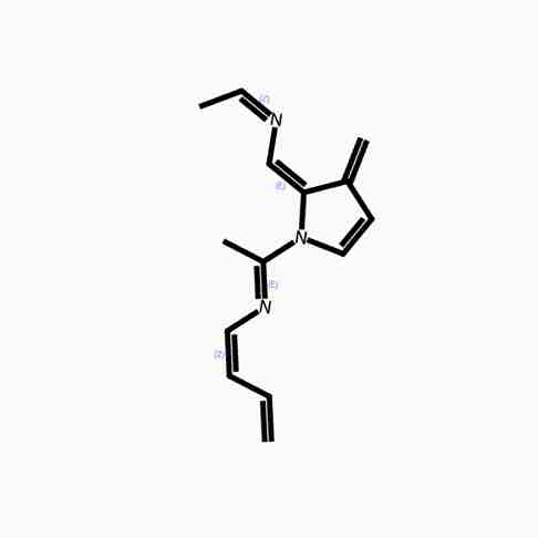 C=C/C=C\N=C(/C)n1ccc(=C)/c1=C\N=C/C